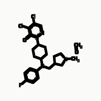 C=O.CN1CCC(CN(c2ccc(F)cc2)C2CCC(n3ncc(Cl)c(Cl)c3=O)CC2)C1